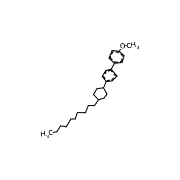 CCCCCCCCCCC1CCC(c2ccc(-c3ccc(OC)cc3)cc2)CC1